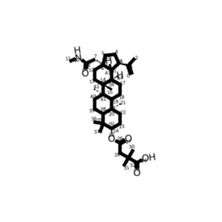 C=C(C)[C@@H]1CC[C@]2(CC(=O)NC)CC[C@]3(C)[C@H](CCC4[C@@]5(C)CC[C@H](OC(=O)CC(C)(C)C(=O)O)C(C)(C)C5CC[C@]43C)[C@@H]12